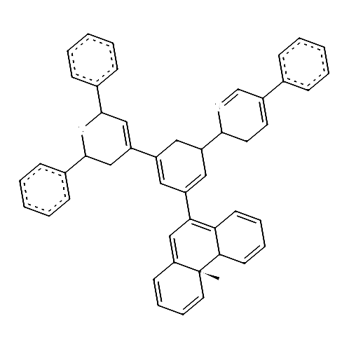 C1=CC2=CC(C3=CC(C4CC=C(c5ccccc5)C=N4)CC(C4=CC(c5ccccc5)NC(c5ccccc5)C4)=C3)=C3C=CC=CC3[C@@H]2C=C1